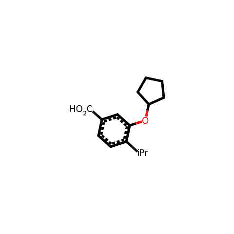 CC(C)c1ccc(C(=O)O)cc1OC1CCCC1